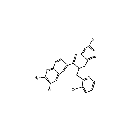 Cc1cc2cc(C(=O)N(Cc3ccc(Br)cn3)Cc3ncccc3Cl)ccc2nc1N